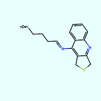 CCCCCCCCCCCCCC=Nc1c2c(nc3ccccc13)CSC2